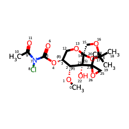 CO[C@@H]1[C@H](OC(=O)N(Cl)C(C)=O)CO[C@]2(COC(C)(C)O2)[C@@]1(O)C1(C)CO1